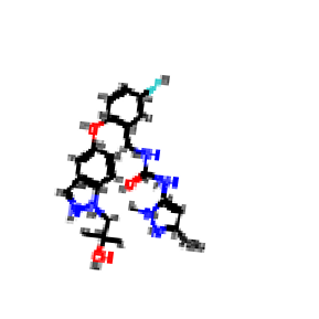 Cn1nc(C(C)(C)C)cc1NC(=O)NCc1cc(F)ccc1Oc1ccc2c(cnn2CC(C)(C)O)c1